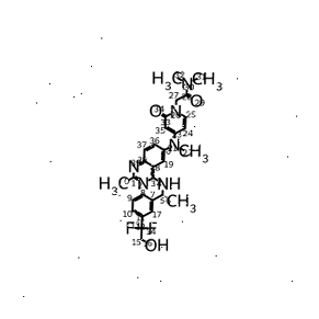 Cc1nc(N[C@H](C)c2cccc(C(F)(F)CO)c2)c2cc(N(C)c3ccn(CC(=O)N(C)C)c(=O)c3)ccc2n1